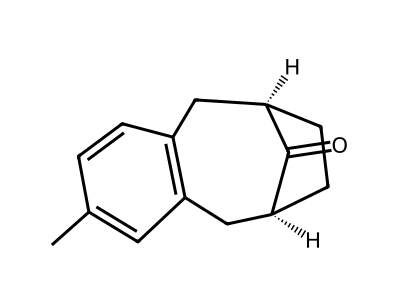 Cc1ccc2c(c1)C[C@@H]1CC[C@H](C2)C1=O